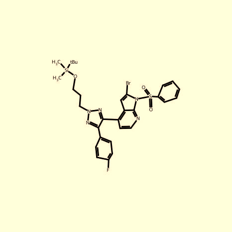 CC(C)(C)[Si](C)(C)OCCCn1nc(-c2ccc(F)cc2)c(-c2ccnc3c2cc(Br)n3S(=O)(=O)c2ccccc2)n1